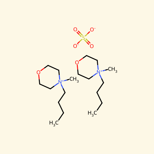 CCCC[N+]1(C)CCOCC1.CCCC[N+]1(C)CCOCC1.O=S(=O)([O-])[O-]